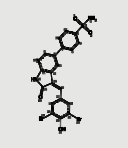 NS(=O)(=O)c1ccc(-c2cnc3c(c2)C(=Cc2cc(Br)c(O)c(Br)c2)C(=O)N3)cc1